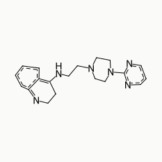 c1cnc(N2CCN(CCNC3=c4ccccc4=NCC3)CC2)nc1